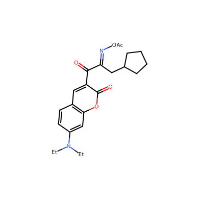 CCN(CC)c1ccc2cc(C(=O)/C(CC3CCCC3)=N/OC(C)=O)c(=O)oc2c1